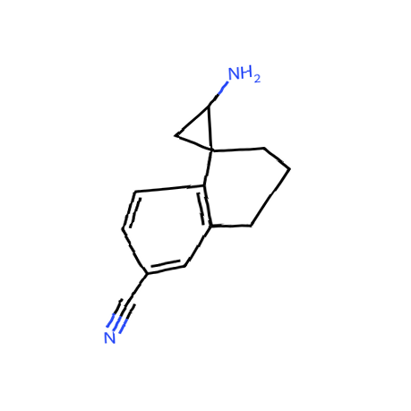 N#Cc1ccc2c(c1)CCCC21CC1N